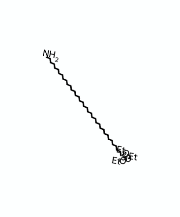 CCO[Si](CCCCCCCCCCCCCCCCCCCCCCCCCCCCCCCCCCCCCN)(OCC)OCC